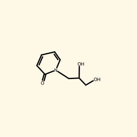 O=c1ccccn1CC(O)CO